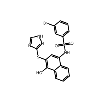 O=S(=O)(Nc1cc(Sc2nc[nH]n2)c(O)c2ccccc12)c1cccc(Br)c1